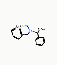 COC(c1ccccc1)N(CC(=O)O)Cc1ccccc1